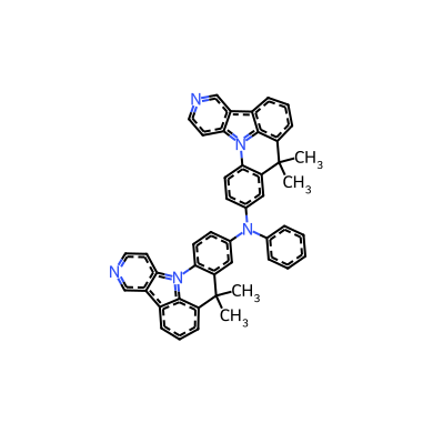 CC1(C)c2cc(N(c3ccccc3)c3ccc4c(c3)C(C)(C)c3cccc5c6cnccc6n-4c35)ccc2-n2c3ccncc3c3cccc1c32